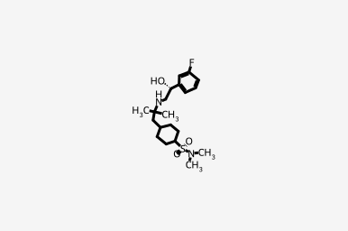 CN(C)S(=O)(=O)C1CCC(CC(C)(C)NC[C@H](O)c2cccc(F)c2)CC1